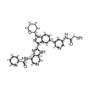 CC(C)CC(=O)Nc1cncc(-c2ccc3c(c2)c(-c2nc4c(NC(=O)c5ccccn5)cncc4[nH]2)nn3C2CCCCO2)c1